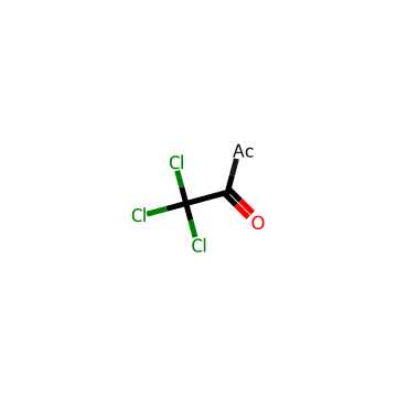 CC(=O)C(=O)C(Cl)(Cl)Cl